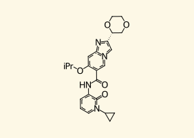 CC(C)Oc1cc2nc([C@H]3COCCO3)cn2cc1C(=O)Nc1cccn(C2CC2)c1=O